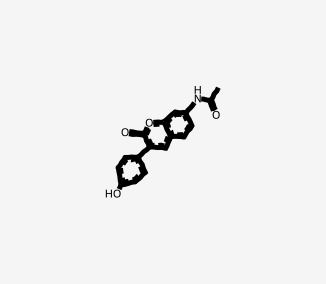 CC(=O)Nc1ccc2cc(-c3ccc(O)cc3)c(=O)oc2c1